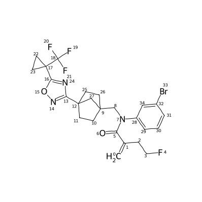 C=C(CCF)C(=O)N(CC12CCC(c3noc(C4(C(F)(F)F)CC4)n3)(CC1)C2)c1cccc(Br)c1